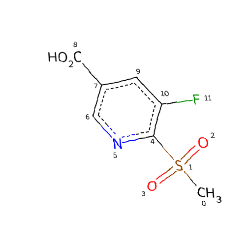 CS(=O)(=O)c1ncc(C(=O)O)cc1F